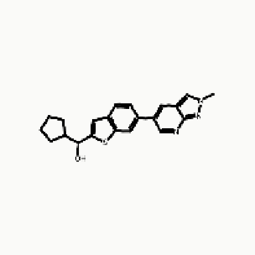 Cn1cc2cc(-c3ccc4cc([C@@H](O)C5CCCC5)sc4c3)cnc2n1